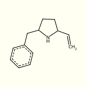 C=CC1CCC(Cc2ccccc2)N1